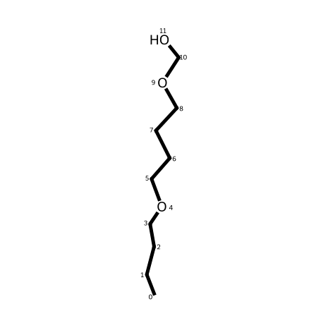 CCCCOCCCCOCO